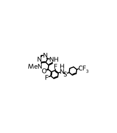 CNc1ncnc2[nH]cc(C(=O)c3c(F)ccc(NSC4C=CC(C(F)(F)F)CC4)c3F)c12